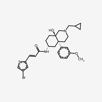 COc1cccc([C@@]23CCN(CC4CC4)C[C@@]2(O)CC[C@@H](NC(=O)/C=C/c2cc(Br)cs2)C3)c1